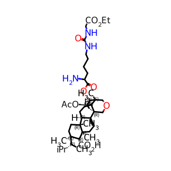 CCOC(=O)CNC(=O)NCCCCC(N)C(=O)O[C@H]1[C@H](OC(C)=O)C[C@@]23COC[C@]1(C)[C@@H]2CC[C@H]1C3=CC[C@@]2(C)[C@H](C(=O)O)[C@@](C)([C@H](C)C(C)C)CC[C@]12C